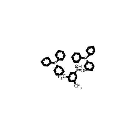 OB(O)c1cc(C(F)(F)F)cc(C(F)(F)F)c1.c1ccc(P(c2ccccc2)c2ccccc2)cc1.c1ccc(P(c2ccccc2)c2ccccc2)cc1